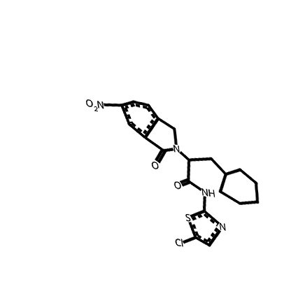 O=C(Nc1ncc(Cl)s1)C(CC1CCCCC1)N1Cc2ccc([N+](=O)[O-])cc2C1=O